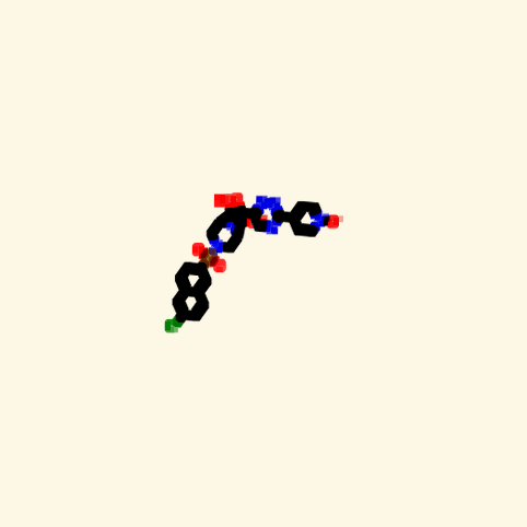 O=C(c1cnc(-c2cc[n+]([O-])cc2)nn1)N1C2CN(S(=O)(=O)c3ccc4cc(Cl)ccc4c3)CC1C(O)C2O